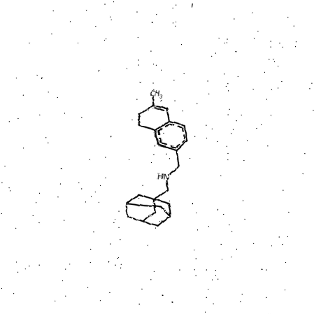 CC1=Cc2ccc(CNCC34CC5CC(CC(C5)C3)C4)cc2CC1